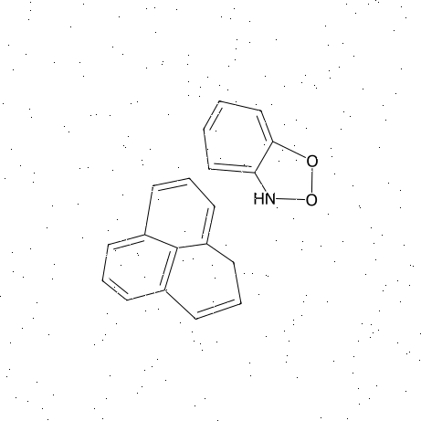 C1=Cc2cccc3cccc(c23)C1.c1ccc2c(c1)NOO2